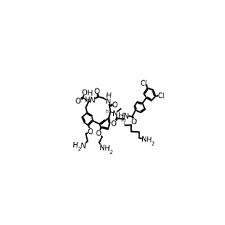 CN(C(=O)[C@@H](CCCCCN)NC(=O)c1ccc(-c2cc(Cl)cc(Cl)c2)cc1)[C@@H]1C(=O)NCC(=O)N[C@H](C(=O)O)Cc2ccc(OCCN)c(c2)-c2cc1ccc2OCCN